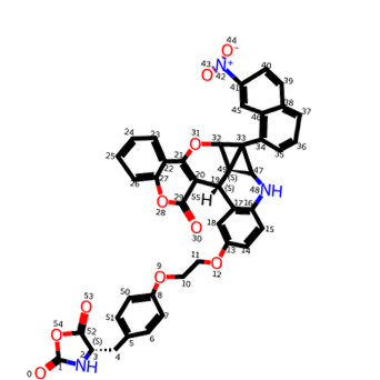 O=C1N[C@@H](Cc2ccc(OCCOc3ccc4c(c3)[C@@H]3c5c(c6ccccc6oc5=O)OC5C6(c7cccc8ccc([N+](=O)[O-])cc78)C(N4)[C@]536)cc2)C(=O)O1